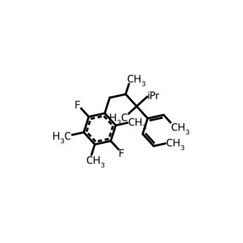 C/C=C\C(=C/C)C(C)(C(C)C)C(C)Cc1c(C)c(F)c(C)c(C)c1F